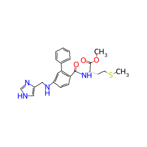 COC(=O)[C@H](CCSC)NC(=O)c1ccc(NCc2c[nH]cn2)cc1-c1ccccc1